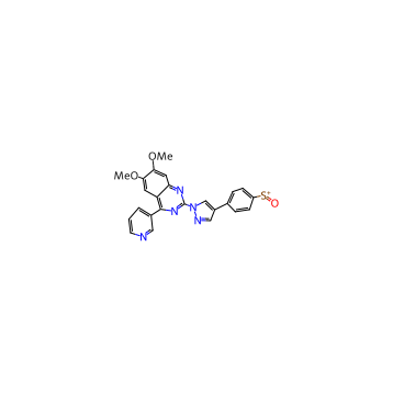 COc1cc2nc(-n3cc(-c4ccc([S+]=O)cc4)cn3)nc(-c3cccnc3)c2cc1OC